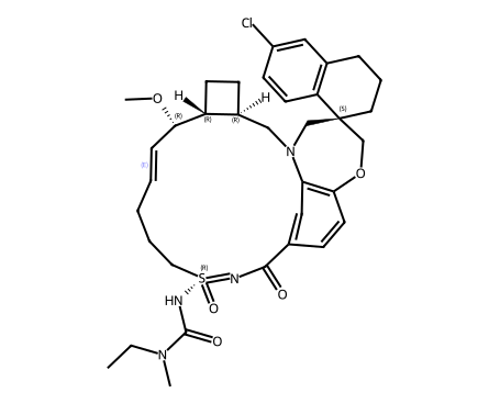 CCN(C)C(=O)N[S@@]1(=O)=NC(=O)c2ccc3c(c2)N(C[C@@H]2CC[C@H]2[C@@H](OC)/C=C/CCC1)C[C@@]1(CCCc2cc(Cl)ccc21)CO3